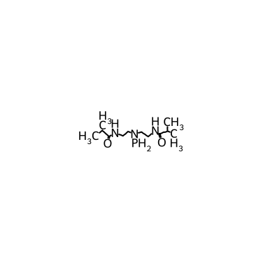 CC(C)C(=O)NCCN(P)CCNC(=O)C(C)C